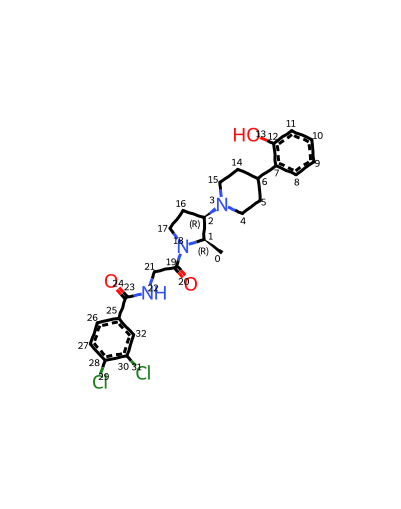 C[C@@H]1[C@H](N2CCC(c3ccccc3O)CC2)CCN1C(=O)CNC(=O)c1ccc(Cl)c(Cl)c1